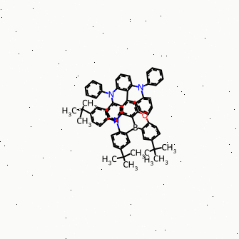 CC(C)(C)c1ccc(N2c3ccc(C(C)(C)C)cc3B3c4cc(C(C)(C)C)ccc4Oc4cc(-c5c(N(c6ccccc6)c6ccccc6)cccc5N(c5ccccc5)c5ccccc5)cc2c43)cc1